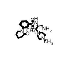 Cc1c(N2CCCCC2=O)cccc1S(=O)(=O)N[C@@H](CN)C(=O)N1CCN(C)CC1